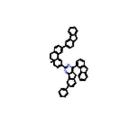 CC12CC=C(c3nc4c(c(-c5cccc6c5-c5ccccc5C6)n3)Cc3ccc(-c5ccccc5)cc3-4)C=C1c1cc(-c3ccc4c(c3)-c3ccccc3C4)ccc1CC2